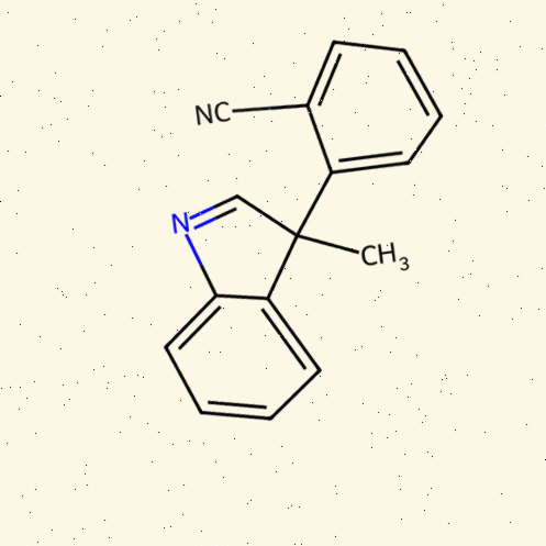 CC1(c2ccccc2C#N)C=Nc2ccccc21